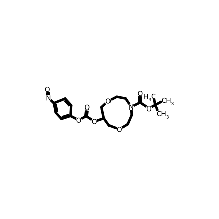 CC(C)(C)OC(=O)N1CCOCC(OC(=O)Oc2ccc(N=O)cc2)COCC1